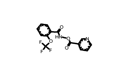 O=C(ONC(=O)c1ccccc1OC(F)(F)F)c1cccnc1